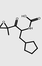 CC1(C(=O)C(CC2CCCC2)NC(=O)O)CO1